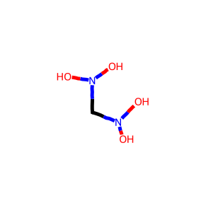 ON(O)CN(O)O